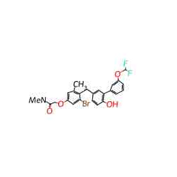 CNC(=O)COc1cc(C)c(Cc2ccc(O)c(-c3cccc(OC(F)F)c3)c2)c(Br)c1